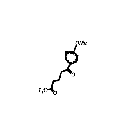 COc1ccc(C(=O)CCCC(=O)C(F)(F)F)cc1